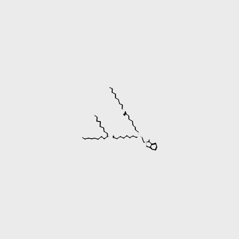 CCCCCCCCCOC(=O)CCCCCCCN(CCCCCCCC(=O)OC(CCCCCCCC)CCCCCCCC)CCN1C(=O)c2ccccc2C1O